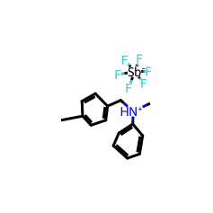 Cc1ccc(C[NH+](C)c2ccccc2)cc1.[F][Sb-]([F])([F])([F])([F])[F]